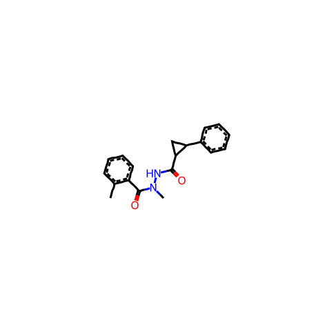 Cc1ccccc1C(=O)N(C)NC(=O)C1CC1c1ccccc1